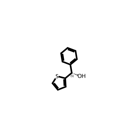 O[C@@H](c1ccccc1)c1cccs1